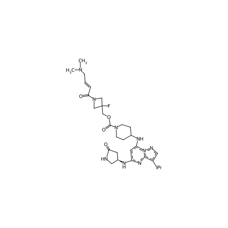 CC(C)c1cnn2c(NC3CCN(C(=O)OCC4(F)CN(C(=O)/C=C/CN(C)C)C4)CC3)cc(N[C@H]3CNC(=O)C3)nc12